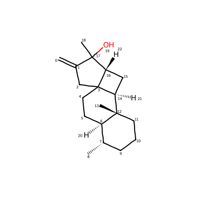 C=C1CC23CC[C@@H]4[C@@H](C)CCC[C@@]4(C)[C@@H]2C[C@H]3C1(C)O